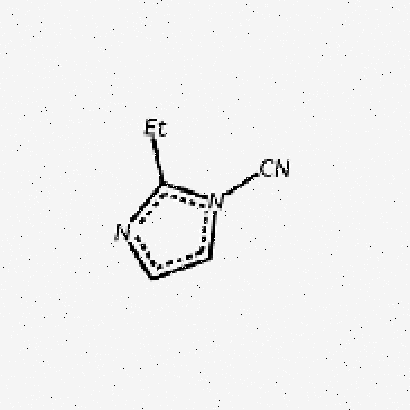 CCc1nccn1C#N